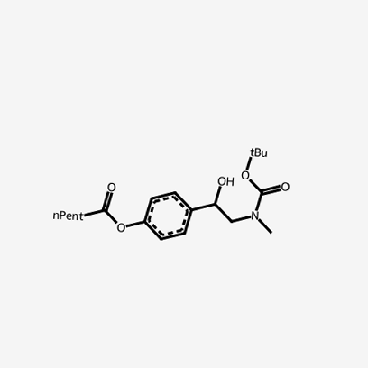 CCCCCC(=O)Oc1ccc(C(O)CN(C)C(=O)OC(C)(C)C)cc1